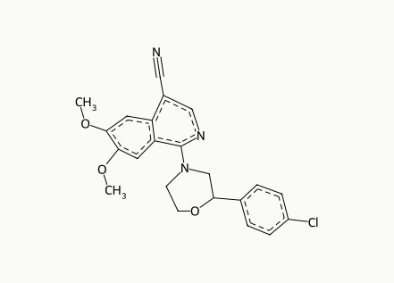 COc1cc2c(C#N)cnc(N3CCOC(c4ccc(Cl)cc4)C3)c2cc1OC